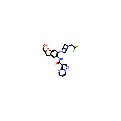 C[C@@]1(CO)Cc2cc(NC(=O)c3cnn4cccnc34)c(N3CC4C3CN4CC(F)F)cc2O1